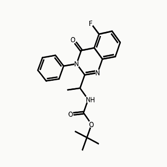 CC(NC(=O)OC(C)(C)C)c1nc2cccc(F)c2c(=O)n1-c1ccccc1